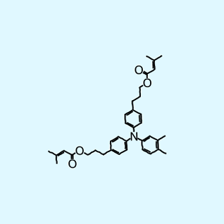 CC(C)=CC(=O)OCCCc1ccc(N(c2ccc(CCCOC(=O)C=C(C)C)cc2)c2ccc(C)c(C)c2)cc1